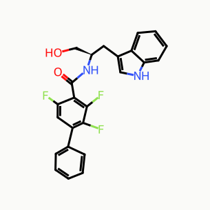 O=C(N[C@@H](CO)Cc1c[nH]c2ccccc12)c1c(F)cc(-c2ccccc2)c(F)c1F